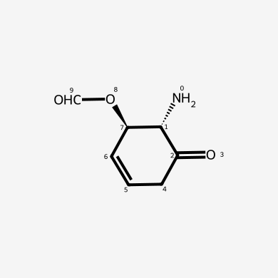 N[C@@H]1C(=O)CC=C[C@H]1OC=O